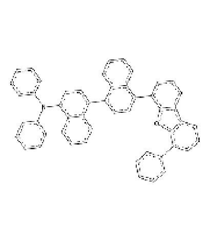 c1ccc(-c2cccc3c2oc2c(-c4ccc(-c5ccc(N(c6ccccc6)c6ccccc6)c6ccccc56)c5ccccc45)cccc23)cc1